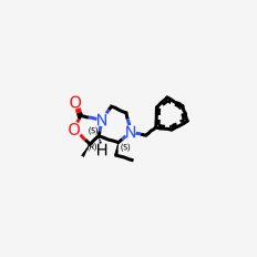 CC[C@H]1[C@H]2[C@@H](C)OC(=O)N2CCN1Cc1ccccc1